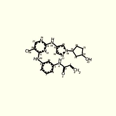 C=CC(=O)Nc1cccc(Nc2nc(Nc3cnn(C4CCC(O)C4)c3)ncc2Cl)c1